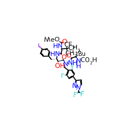 COC(=O)N[C@H](C(=O)N[C@@H](Cc1ccc(I)cc1)[C@@H](O)CN(Cc1c(F)cc(-c2ccn(C(F)F)n2)cc1F)NC(=O)[C@@H](NC(=O)O)C(C)(C)C)C(C)(C)C(F)(F)F